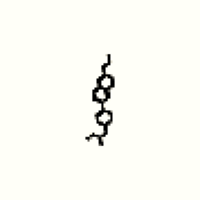 CCCc1ccc2cc(C3=CCC(CC(C)CC)CC3)ccc2c1